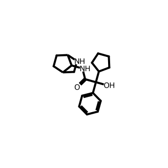 O=C(NC1C2CCC1NC2)C(O)(c1ccccc1)C1CCCC1